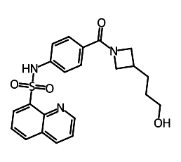 O=C(c1ccc(NS(=O)(=O)c2cccc3cccnc23)cc1)N1CC(CCCO)C1